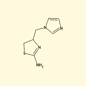 NC1=NC(Cn2ccnc2)CS1